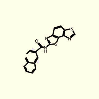 C=c1cccc/c1=C/C(=C\C)C(=O)Nc1nc2ccc3scnc3c2s1